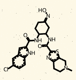 CN1CCc2nc(C(=O)NC3C/C(=N/O)CCC3NC(=O)c3cc4cc(Cl)ccc4[nH]3)sc2C1